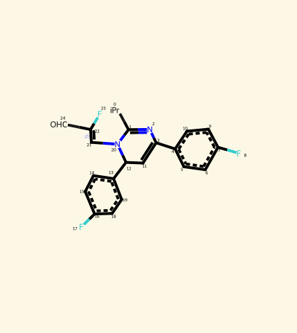 CC(C)C1=NC(c2ccc(F)cc2)=CC(c2ccc(F)cc2)N1/C=C(\F)C=O